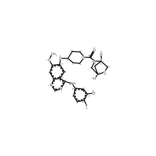 COc1cc2ncnc(Nc3ccc(F)c(Cl)c3)c2cc1OC1CCN(C(=O)N2C[C@@H]3C[C@H]2CO3)CC1